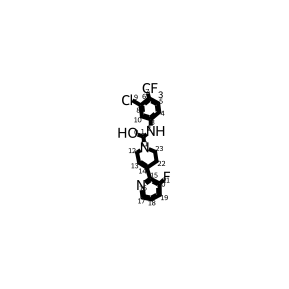 OC(Nc1ccc(C(F)(F)F)c(Cl)c1)N1CC=C(c2ncccc2F)CC1